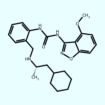 COc1cccc2onc(NC(=O)Nc3ccccc3CN[C@@H](C)CC3CCCCC3)c12